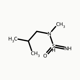 CC(C)CN(C)[SH](=N)=O